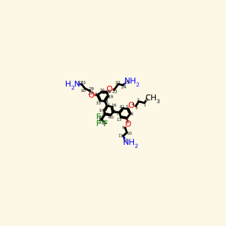 CCCCOc1cc(OCCCN)cc(-c2cc(-c3cc(OCCCN)cc(OCCCN)c3)cc(C(F)(F)F)c2)c1